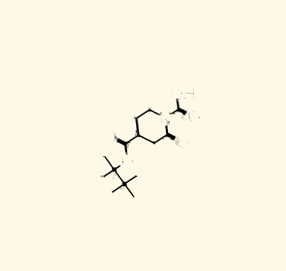 CC(C)(C)C(C)(I)OC(=O)C1CCN(C(=O)O)C(=O)C1